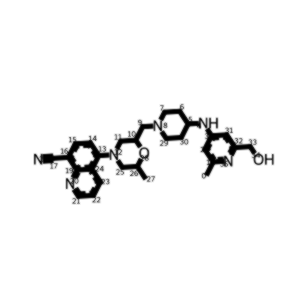 Cc1cc(NC2CCN(CC3CN(c4ccc(C#N)c5ncccc45)CC(C)O3)CC2)cc(CO)n1